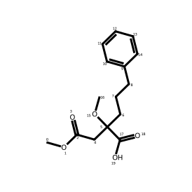 COC(=O)CC(CCCc1ccccc1)(OC)C(=O)O